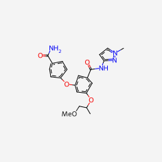 COCC(C)Oc1cc(Oc2ccc(C(N)=O)cc2)cc(C(=O)Nc2ccn(C)n2)c1